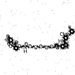 O=C(COCCOCCOCCOCCOCc1ccc(-c2ccc3ncnc(Nc4ccc(OCc5cccc(F)c5)c(Cl)c4)c3c2)o1)NCCOc1cccc2c1C(=O)N(C1CCC(=O)NC1=O)C2=O